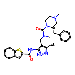 CCc1n[nH]c(NC(=O)c2cc3ccccc3s2)c1CN(C)C(=O)N1CCN(C)C[C@@H]1Cc1ccccc1